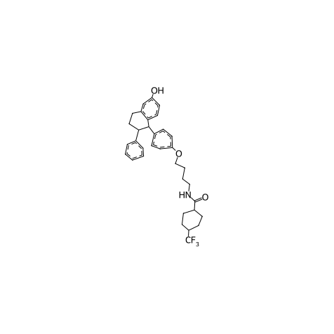 O=C(NCCCCOc1ccc(C2c3ccc(O)cc3CCC2c2ccccc2)cc1)C1CCC(C(F)(F)F)CC1